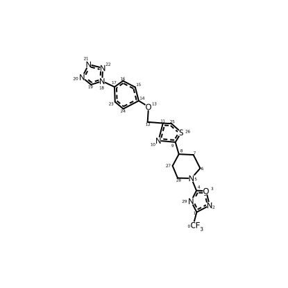 FC(F)(F)c1noc(N2CCC(c3nc(COc4ccc(-n5cnnn5)cc4)cs3)CC2)n1